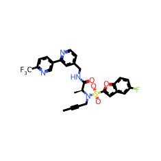 CC#CCN([C@@H](C)C(=O)NCc1ccnc(-c2ccc(C(F)(F)F)nc2)c1)S(=O)(=O)c1cc2cc(F)ccc2o1